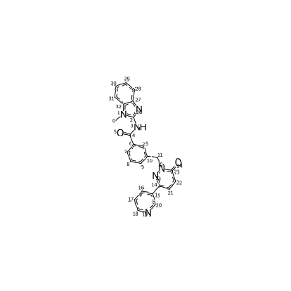 Cn1c(NC(=O)c2cccc(Cn3nc(-c4cccnc4)ccc3=O)c2)nc2ccccc21